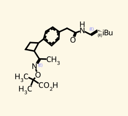 CC[C@@H](C)/C=C/NC(=O)Cc1ccc(C2CCC2/C(C)=N/OC(C)(C)C(=O)O)cc1